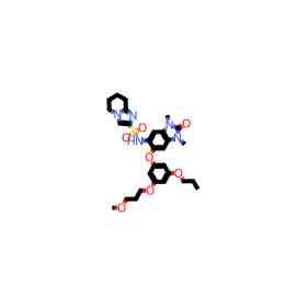 CCCOc1cc(OCCCOC)cc(Oc2cc3c(cc2NS(=O)(=O)c2cn4c(n2)CCCC4)n(C)c(=O)n3C)c1